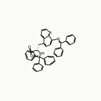 COC(=O)[C@H](Cc1ccc(N=C(c2ccccc2)c2ccccc2)c2ncccc12)NC(c1ccccc1)(c1ccccc1)c1ccccc1